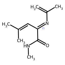 C=C(C)/N=C(\C=C(C)C)C(=O)NC